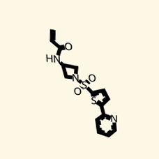 C=CC(=O)NC1CN(S(=O)(=O)c2ccc(-c3ccccn3)s2)C1